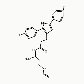 CC(CCNC=O)NC(=O)CCc1cc(-c2ccc(F)cc2)[nH]c1-c1ccc(F)cc1